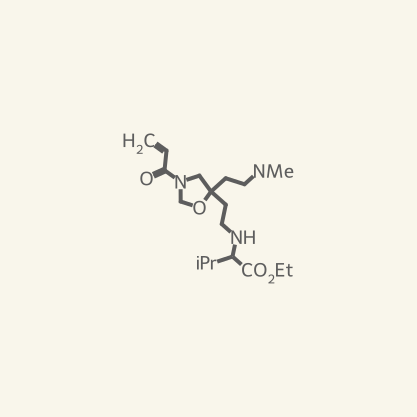 C=CC(=O)N1COC(CCNC)(CCNC(C(=O)OCC)C(C)C)C1